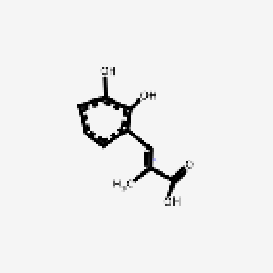 C/C(=C\c1cccc(O)c1O)C(=O)O